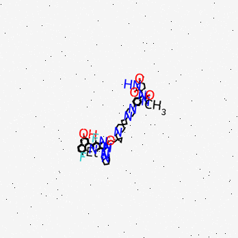 CCc1c(F)ccc2cc(O)cc(-c3ncc4c(N5CC6CCC(C5)N6)nc(OCC5(CN6CCC7(CC6)CC(N6CCN(c8ccc9c(c8)n(C)c(=O)n9C8CCC(=O)NC8=O)CC6)C7)CC5)nc4c3F)c12